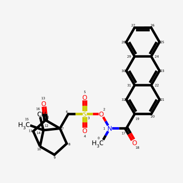 CN(OS(=O)(=O)CC12CCC(CC1=O)C2(C)C)C(=O)c1ccc2cc3ccccc3cc2c1